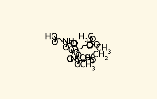 C=CC(=O)OCC(C)(C)C(=O)C(=O)N1CCCC[C@H]1C(=O)O[C@H](CCc1ccc(OC)c(OC)c1)c1cccc(C(=O)NCCC(=O)O)c1